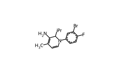 CC1=C(N)C(C(C)C)N(c2ccc(F)c(Br)c2)C=C1